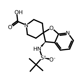 CC(C)(C)[S@+]([O-])N[C@@H]1c2cccnc2OC12CCN(C(=O)O)CC2